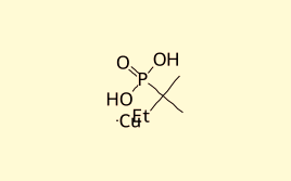 CCC(C)(C)P(=O)(O)O.[Cu]